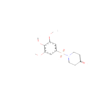 COc1cc(S(=O)(=O)N2CCC(=O)CC2)cc(OC)c1OC